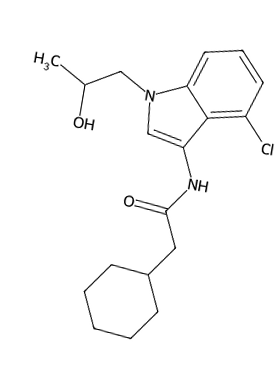 CC(O)Cn1cc(NC(=O)CC2CCCCC2)c2c(Cl)cccc21